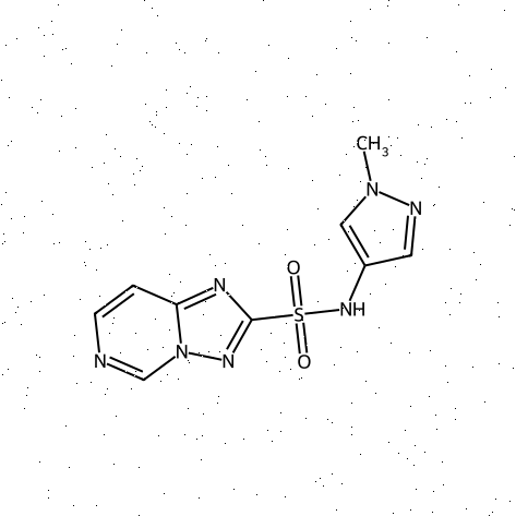 Cn1cc(NS(=O)(=O)c2nc3ccncn3n2)cn1